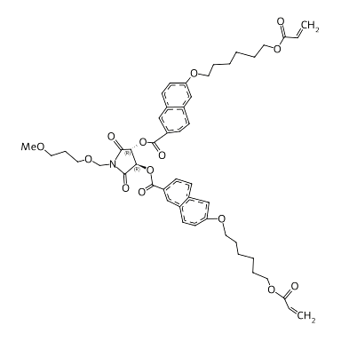 C=CC(=O)OCCCCCCOc1ccc2cc(C(=O)O[C@H]3C(=O)N(COCCCOC)C(=O)[C@@H]3OC(=O)c3ccc4cc(OCCCCCCOC(=O)C=C)ccc4c3)ccc2c1